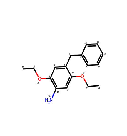 CCOc1cc(Cc2ccccc2)c(OCC)cc1N